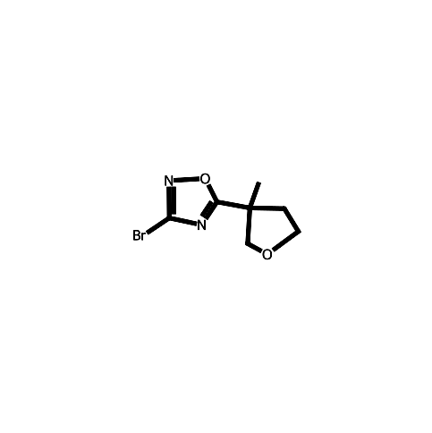 CC1(c2nc(Br)no2)CCOC1